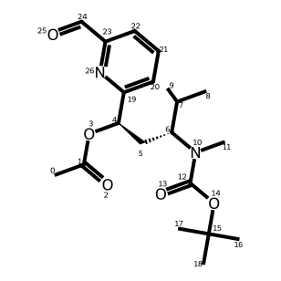 CC(=O)O[C@H](C[C@H](C(C)C)N(C)C(=O)OC(C)(C)C)c1cccc(C=O)n1